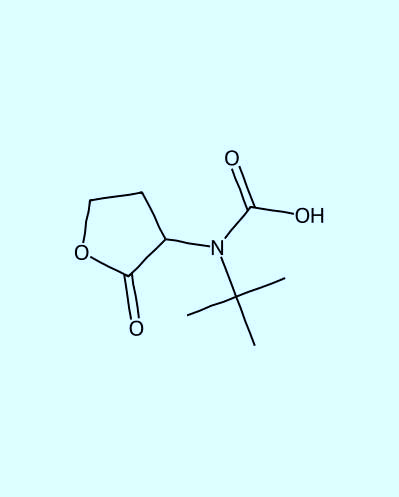 CC(C)(C)N(C(=O)O)C1CCOC1=O